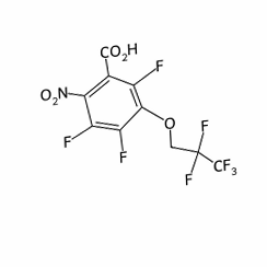 O=C(O)c1c(F)c(OCC(F)(F)C(F)(F)F)c(F)c(F)c1[N+](=O)[O-]